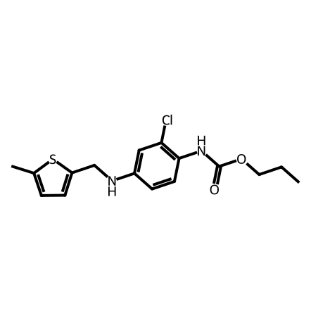 CCCOC(=O)Nc1ccc(NCc2ccc(C)s2)cc1Cl